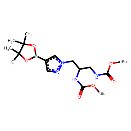 CC(C)(C)OC(=O)NCC(Cn1cc(B2OC(C)(C)C(C)(C)O2)cn1)NC(=O)OC(C)(C)C